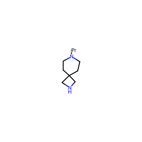 CC(C)N1CCC2(CC1)CNC2